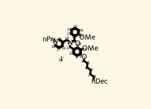 CCCCCCCCCCCCCCCCOc1ccc(CN(Cc2ccc[n+](CCC)c2)C(=O)c2ccccc2OC)cc1OC.[I-]